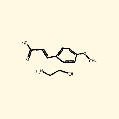 COc1ccc(C=CC(=O)O)cc1.NCCO